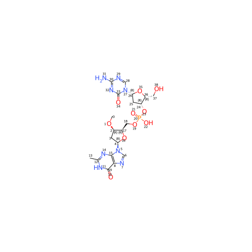 CO[C@@H]1C[C@H](n2cnc3c(=O)[nH]c(C)nc32)O[C@@H]1COP(=O)(O)O[C@@H]1C[C@H](n2cnc(N)nc2=O)O[C@@H]1CO